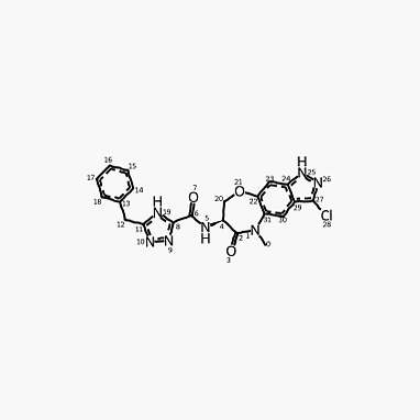 CN1C(=O)[C@@H](NC(=O)c2nnc(Cc3ccccc3)[nH]2)COc2cc3[nH]nc(Cl)c3cc21